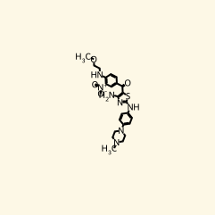 COCCNc1ccc(C(=O)c2sc(Nc3ccc(N4CCN(C)CC4)cc3)nc2N)cc1[N+](=O)[O-]